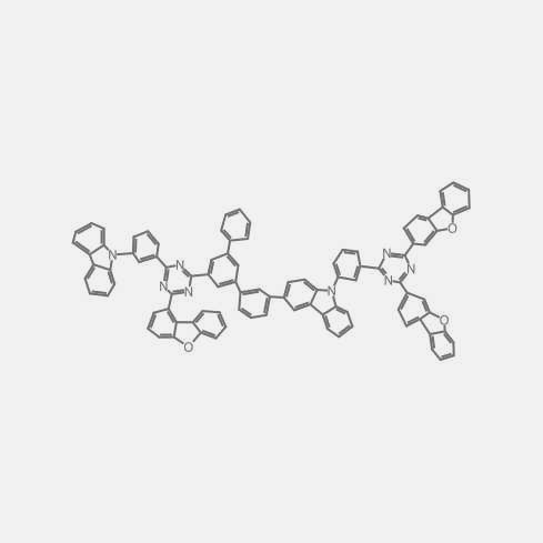 c1ccc(-c2cc(-c3cccc(-c4ccc5c(c4)c4ccccc4n5-c4cccc(-c5nc(-c6ccc7c(c6)oc6ccccc67)nc(-c6ccc7c(c6)oc6ccccc67)n5)c4)c3)cc(-c3nc(-c4cccc(-n5c6ccccc6c6ccccc65)c4)nc(-c4cccc5oc6ccccc6c45)n3)c2)cc1